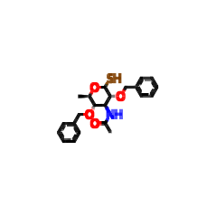 CC(=O)N[C@H]1[C@H](OCc2ccccc2)[C@@H](C)OC(S)[C@@H]1OCc1ccccc1